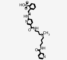 CN(CCCCNC(=O)c1cccnc1)CCCNC(=O)c1ccc(NN=Cc2ccccc2S(=O)(=O)O)nc1